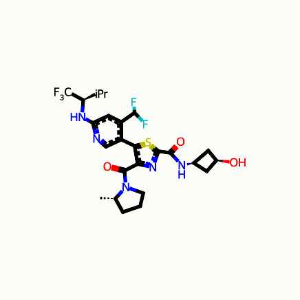 CC(C)[C@@H](Nc1cc(C(F)F)c(-c2sc(C(=O)N[C@H]3C[C@H](O)C3)nc2C(=O)N2CCC[C@@H]2C)cn1)C(F)(F)F